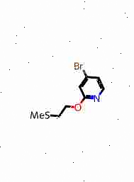 CSCCOc1cc(Br)ccn1